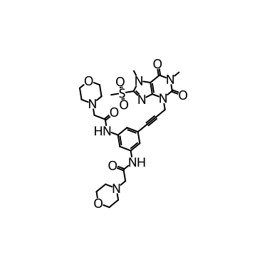 Cn1c(=O)c2c(nc(S(C)(=O)=O)n2C)n(CC#Cc2cc(NC(=O)CN3CCOCC3)cc(NC(=O)CN3CCOCC3)c2)c1=O